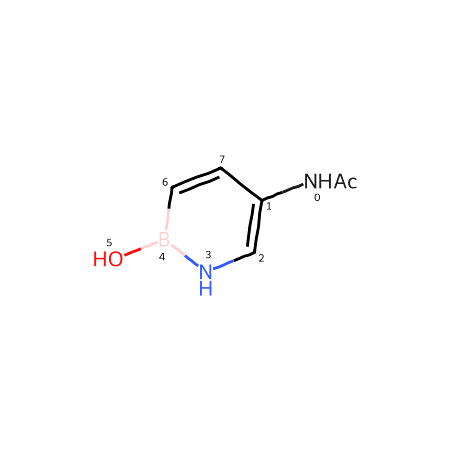 CC(=O)NC1=CNB(O)C=C1